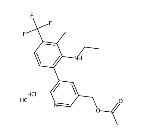 CCNc1c(-c2cncc(COC(C)=O)c2)ccc(C(F)(F)F)c1C.Cl.Cl